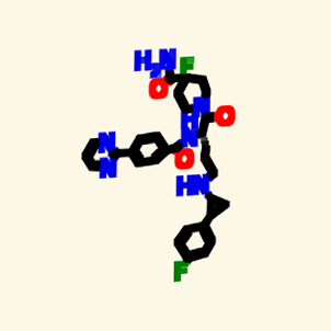 NC(=O)C1(F)CCN(C(=O)[C@H](CCCN[C@@H]2C[C@H]2c2ccc(F)cc2)NC(=O)c2ccc(-c3ncccn3)cc2)CC1